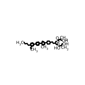 C=C(CO)C(=O)OCC(CCC1CCC(c2ccc(-c3ccc(-c4ccc(CCCCC)c(CC)c4)cc3)c(C)c2)CC1)COC(O)C(=C)CO